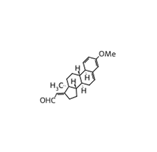 COC1=CC2=CC[C@@H]3[C@H](CC[C@]4(C)/C(=C/C=O)CC[C@@H]34)[C@H]2C=C1